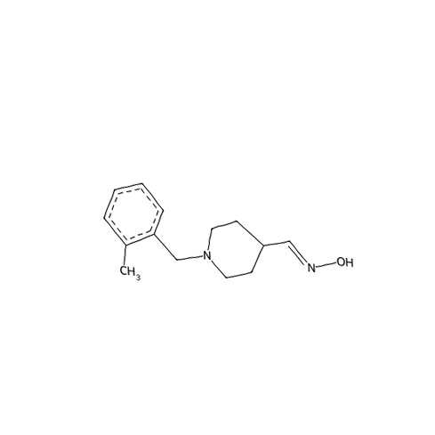 Cc1ccccc1CN1CCC(C=NO)CC1